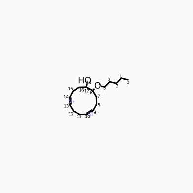 CCCCCOC1CC/C=C\CC/C=C\CCC1O